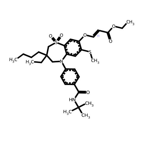 CCCCC1(CC)CN(c2ccc(C(=O)NC(C)(C)C)cc2)c2cc(SC)c(O/C=C/C(=O)OCC)cc2S(=O)(=O)C1